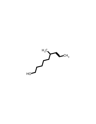 C/C=C/C(C)CCCCCO